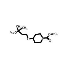 COC(C)(C)CCOC1CCN(C(=O)OC(C)(C)C)CC1